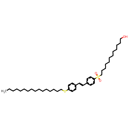 CCCCCCCCCCCCCCCCSc1ccc(C=Cc2ccc(S(=O)(=O)CCCCCCCCCCCCO)cc2)cc1